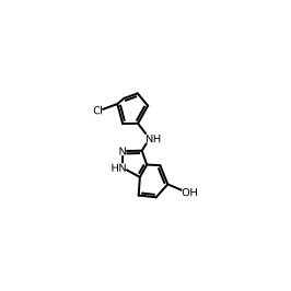 Oc1ccc2[nH]nc(Nc3cccc(Cl)c3)c2c1